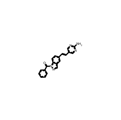 Nc1ncc(C=Cc2ccc3c(cnn3C(=O)c3ccccc3)c2)cn1